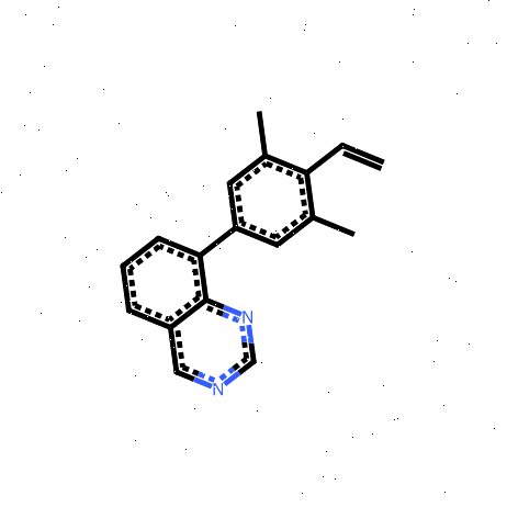 C=Cc1c(C)cc(-c2cccc3cncnc23)cc1C